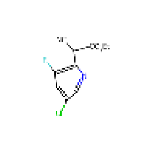 CCOC(=O)C(C#N)c1ncc(Cl)cc1F